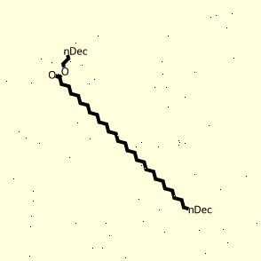 CCCCCCCCCCCCCCCCCCCCCCCCCCCCCCCCCCCCCC(=O)OCCCCCCCCCCCC